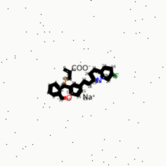 C[C@@H](CSC1c2ccccc2COc2ccc(C=Cc3ccc4ccc(F)cc4n3)cc21)C(=O)[O-].[Na+]